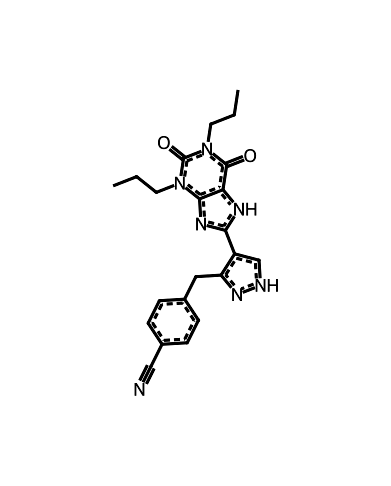 CCCn1c(=O)c2[nH]c(-c3c[nH]nc3Cc3ccc(C#N)cc3)nc2n(CCC)c1=O